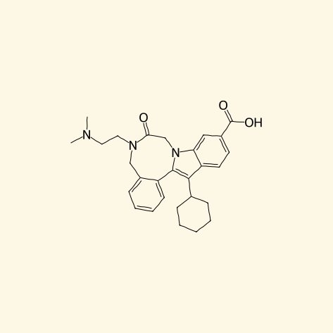 CN(C)CCN1Cc2ccccc2-c2c(C3CCCCC3)c3ccc(C(=O)O)cc3n2CC1=O